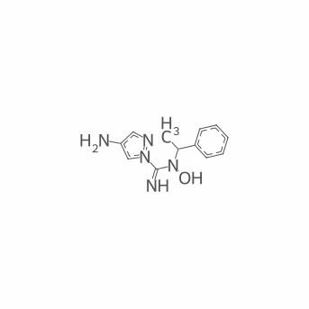 CC(c1ccccc1)N(O)C(=N)n1cc(N)cn1